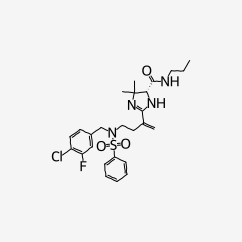 C=C(CCN(Cc1ccc(Cl)c(F)c1)S(=O)(=O)c1ccccc1)C1=NC(C)(C)[C@H](C(=O)NCCC)N1